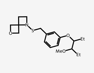 CCC(OC)C(CC)Oc1cccc(CSN2CCC23COC3)c1